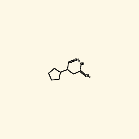 C=CC(CC(=C)S)C1CCCC1